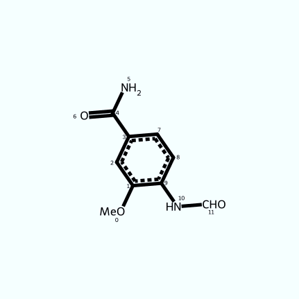 COc1cc(C(N)=O)ccc1NC=O